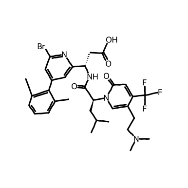 Cc1cccc(C)c1-c1cc(Br)nc([C@H](CC(=O)O)NC(=O)[C@H](CC(C)C)n2cc(CCN(C)C)c(C(F)(F)F)cc2=O)c1